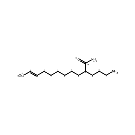 CCCCCCCCC=CCCCCCCC(CCCN)C(N)=O